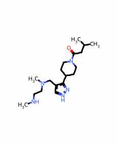 CNCCN(C)Cc1c[nH]nc1C1CCN(C(=O)CC(C)C)CC1